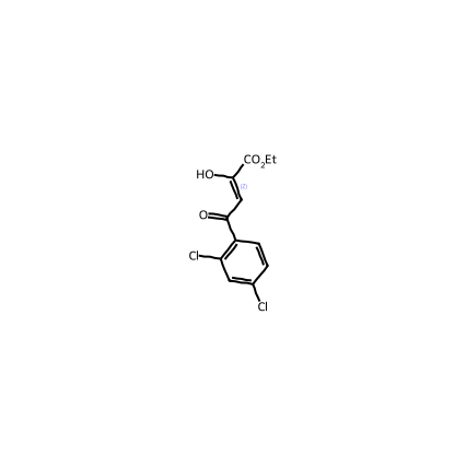 CCOC(=O)/C(O)=C/C(=O)c1ccc(Cl)cc1Cl